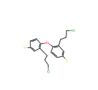 Fc1ccc(Oc2ccc(F)cc2CCCCl)c(CCCCl)c1